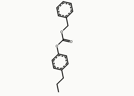 CCCc1ccc(OC(=O)OCc2ccccc2)cc1